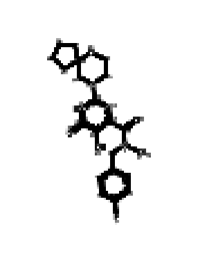 CN(Cc1ccc(F)cc1)C(=O)c1nc(N2CCOC3(CCCC3)C2)[nH]c(=O)c1O